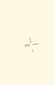 CC(=O)[SH](C)(C)=O.[NaH]